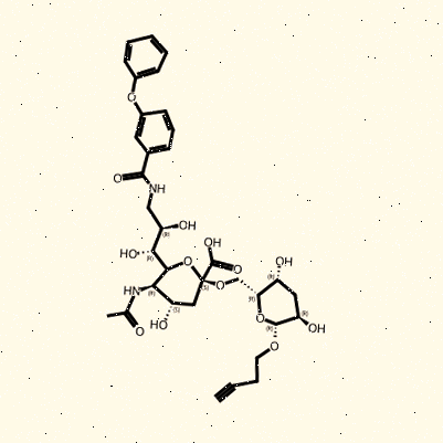 C#CCCO[C@@H]1O[C@H](CO[C@@]2(C(=O)O)C[C@H](O)[C@@H](NC(C)=O)C([C@H](O)[C@H](O)CNC(=O)c3cccc(Oc4ccccc4)c3)O2)[C@H](O)C[C@H]1O